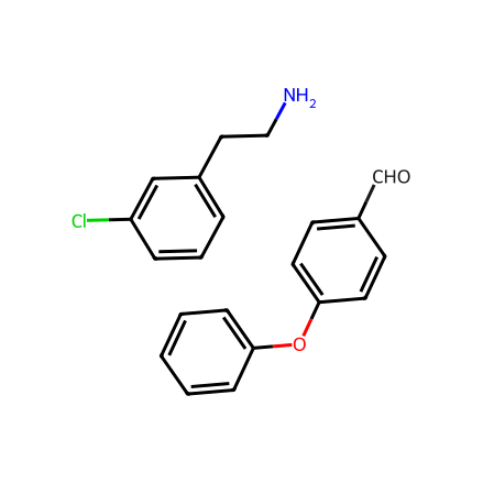 NCCc1cccc(Cl)c1.O=Cc1ccc(Oc2ccccc2)cc1